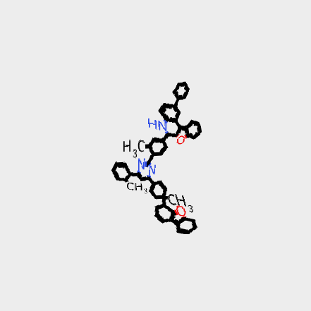 CC1C=CC=CC1c1cc(C2=CCC(C)(C3CC=Cc4c3oc3c4C=CCC3)C=C2)nc(C2C=CC(C3Nc4ccc(-c5ccccc5)cc4-c4c3oc3ccccc43)=CC2C)n1